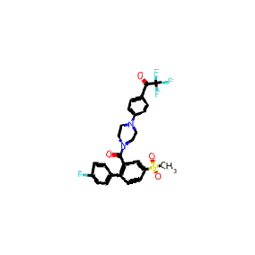 CS(=O)(=O)c1ccc(-c2ccc(F)cc2)c(C(=O)N2CCN(c3ccc(C(=O)C(F)(F)F)cc3)CC2)c1